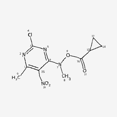 Cc1nc(Cl)nc(N(C)OC(=O)C2CC2)c1[N+](=O)[O-]